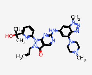 C=CCn1c(=O)c2cnc(Nc3cc(N4CCN(C)CC4)c4nnn(C)c4c3)nc2n1-c1cccc(C(C)(C)O)n1